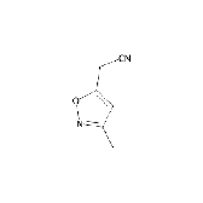 Cc1cc(CC#N)on1